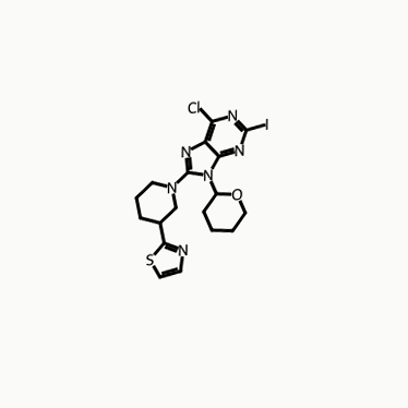 Clc1nc(I)nc2c1nc(N1CCCC(c3nccs3)C1)n2C1CCCCO1